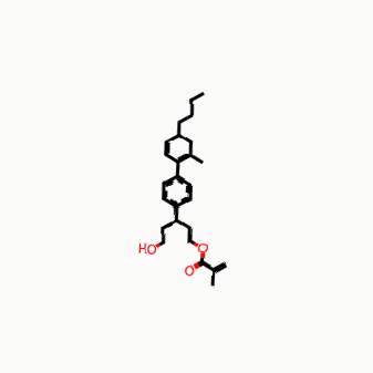 C=C(C)C(=O)OCCC(CCO)c1ccc(C2=C(C)CC(CCCC)C=C2)cc1